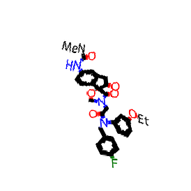 CCOc1cccc(N(Cc2ccc(F)cc2)C(=O)CN2CO[C@]3(C(=O)Cc4cc(NC(=O)NC)ccc43)C2=O)c1